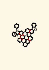 CC1C=C(N(c2ccccc2-c2ccc3c(c2)oc2ccccc23)c2ccccc2-c2ccc3c4ccccc4n(-c4ccccc4)c3c2)C(c2cccc3cccc(-c4ccccc4)c23)=CC1